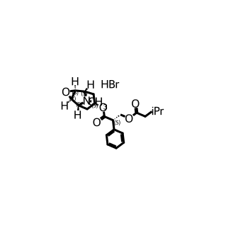 Br.CC(C)CC(=O)OC[C@@H](C(=O)O[C@@H]1C[C@@H]2[C@H]3O[C@H]3[C@H](C1)N2C)c1ccccc1